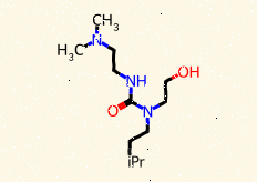 CC(C)CCN(CCO)C(=O)NCCN(C)C